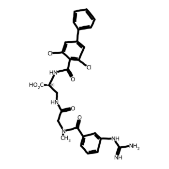 CN(CC(=O)NC[C@H](NC(=O)c1c(Cl)cc(-c2ccccc2)cc1Cl)C(=O)O)C(=O)c1cccc(NC(=N)N)c1